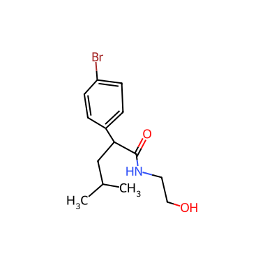 CC(C)CC(C(=O)NCCO)c1ccc(Br)cc1